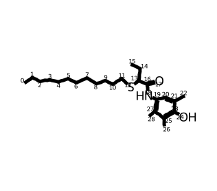 CCCCCCCCCCCCSC(CC)C(=O)Nc1cc(C)c(O)c(C)c1C